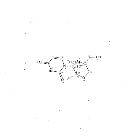 O=c1ccn([C@@H]2O[C@@]3(CO)CO[C@@H]2[C@H]3O)c(=O)[nH]1